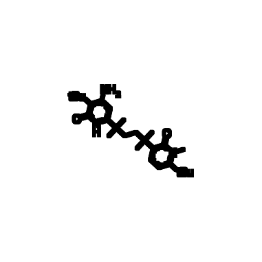 Cn1c(C(C)(C)C)ccc(C(C)(C)CCC(C)(C)c2cc(N)c(C(C)(C)C)c(=O)[nH]2)c1=O